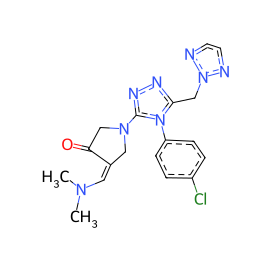 CN(C)/C=C1/CN(c2nnc(Cn3nccn3)n2-c2ccc(Cl)cc2)CC1=O